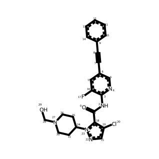 O=C(Nc1ncc(C#Cc2ccccc2)cc1F)c1c(Cl)cnn1C1CCN(CO)CC1